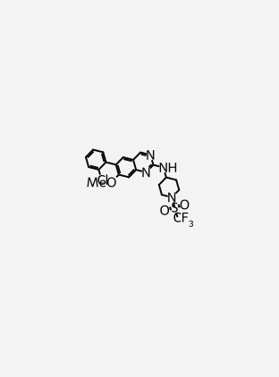 COc1cc2nc(NC3CCN(S(=O)(=O)C(F)(F)F)CC3)ncc2cc1-c1ccccc1Cl